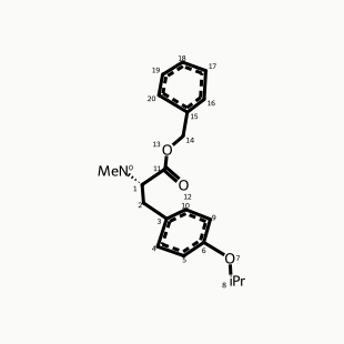 CN[C@@H](Cc1ccc(OC(C)C)cc1)C(=O)OCc1ccccc1